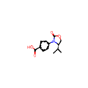 CC(C)[C@@H]1COC(=O)N1c1ccc(C(=O)O)cc1